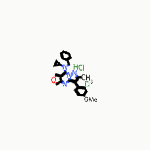 COc1ccc(-c2c(C)nn3c(N(Cc4ccccc4)C4CC4)c4c(nc23)COC4)c(Cl)c1.Cl